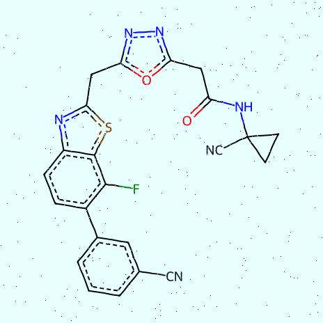 N#Cc1cccc(-c2ccc3nc(Cc4nnc(CC(=O)NC5(C#N)CC5)o4)sc3c2F)c1